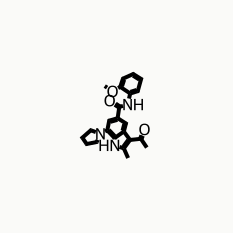 COc1ccccc1NC(=O)c1cc(N2CCCC2)c2[nH]c(C)c(C(C)=O)c2c1